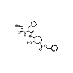 CC(C)(C)OC(=O)NC(CC1CCCC1)C(=O)NC1CCCN(C(=O)OCc2ccccc2)CC1O